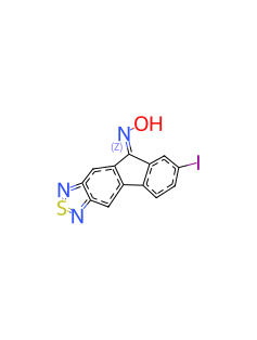 O/N=C1\c2cc(I)ccc2-c2cc3nsnc3cc21